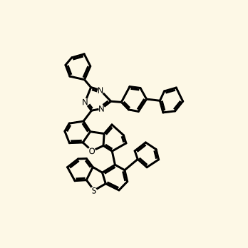 c1ccc(-c2ccc(-c3nc(-c4ccccc4)nc(-c4cccc5oc6c(-c7c(-c8ccccc8)ccc8sc9ccccc9c78)cccc6c45)n3)cc2)cc1